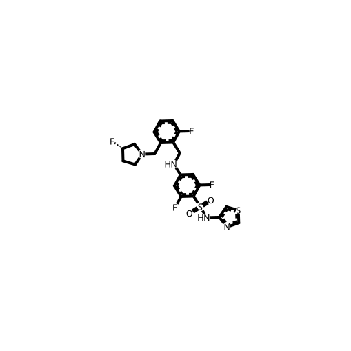 O=S(=O)(Nc1cscn1)c1c(F)cc(NCc2c(F)cccc2CN2CC[C@H](F)C2)cc1F